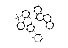 CC1(C)c2ccccc2-c2c(N(c3ccc4c(c3)C3=CC=CCC3O4)c3cc4c5ccccc5ccc4c4ccccc34)cccc21